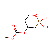 COC(=O)OC1CCOS(O)(O)C1